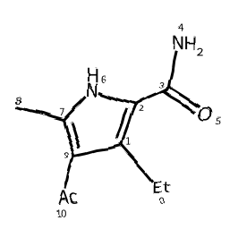 CCc1c(C(N)=O)[nH]c(C)c1C(C)=O